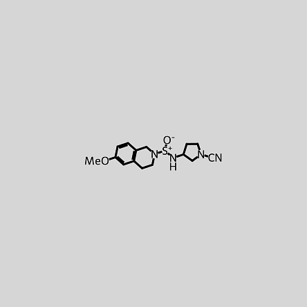 COc1ccc2c(c1)CCN([S+]([O-])NC1CCN(C#N)C1)C2